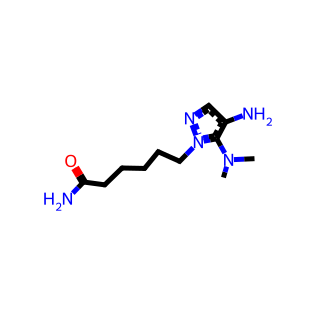 CN(C)c1c(N)cnn1CCCCCC(N)=O